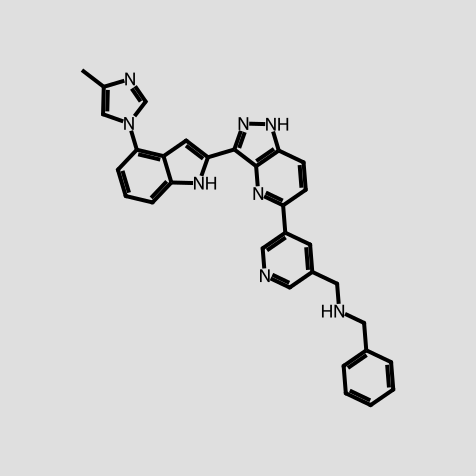 Cc1cn(-c2cccc3[nH]c(-c4n[nH]c5ccc(-c6cncc(CNCc7ccccc7)c6)nc45)cc23)cn1